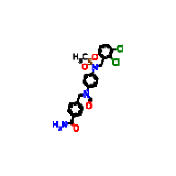 CS(=O)(=O)N(Cc1cccc(Cl)c1Cl)c1ccc(N(C=O)Cc2ccc(C(N)=O)cc2)cc1